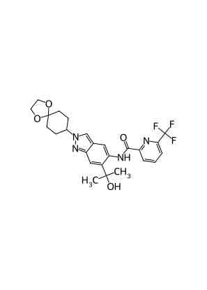 CC(C)(O)c1cc2nn(C3CCC4(CC3)OCCO4)cc2cc1NC(=O)c1cccc(C(F)(F)F)n1